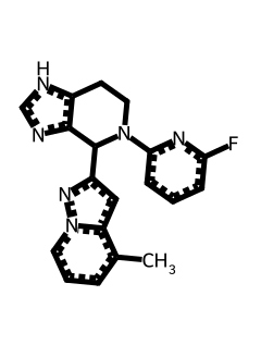 Cc1cccn2nc(C3c4nc[nH]c4CCN3c3cccc(F)n3)cc12